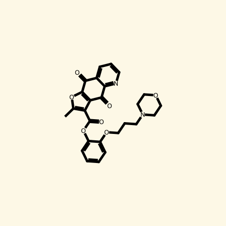 Cc1oc2c(c1C(=O)Oc1ccccc1OCCCN1CCOCC1)C(=O)c1ncccc1C2=O